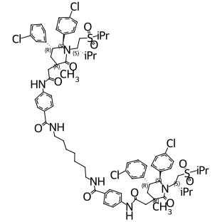 CC(C)[C@@H](CS(=O)(=O)C(C)C)N1C(=O)[C@@](C)(CC(=O)Nc2ccc(C(=O)NCCCCCCCNC(=O)c3ccc(NC(=O)C[C@@]4(C)C[C@H](c5cccc(Cl)c5)[C@@H](c5ccc(Cl)cc5)N([C@H](CS(=O)(=O)C(C)C)C(C)C)C4=O)cc3)cc2)C[C@H](c2cccc(Cl)c2)[C@H]1c1ccc(Cl)cc1